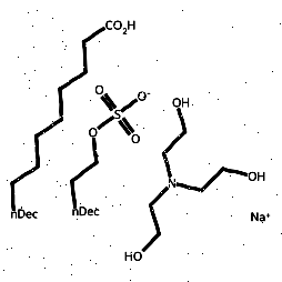 CCCCCCCCCCCCCCCCCC(=O)O.CCCCCCCCCCCCOS(=O)(=O)[O-].OCCN(CCO)CCO.[Na+]